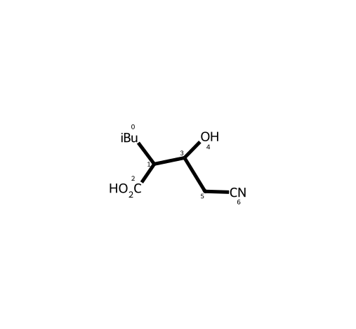 CCC(C)C(C(=O)O)C(O)CC#N